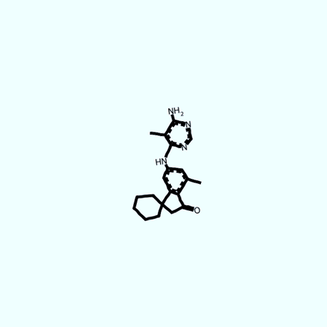 Cc1cc(Nc2ncnc(N)c2C)cc2c1C(=O)CC21CCCCC1